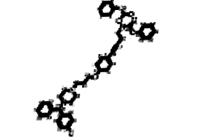 O=C(Oc1ccccc1)ON(CCC#Cc1ccc(OCCCN2CCN([C@H](c3ccccc3)c3ccc(Cl)cc3)CC2)cc1)C(=O)Oc1ccccc1